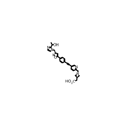 CC(O)c1nccn1Cc1cc(-c2ccc(C#Cc3ccc(CN4CC(CC(=O)O)C4)nc3)cc2)on1